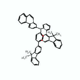 CC1(C)c2ccccc2-c2ccc(-c3ccc(N(c4ccc5c(ccc6ccccc65)c4)c4ccccc4-c4cccc5c4C(C)(C)c4ccccc4-5)cc3)cc21